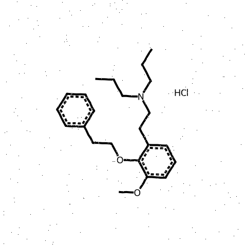 CCCN(CCC)CCc1cccc(OC)c1OCCc1ccccc1.Cl